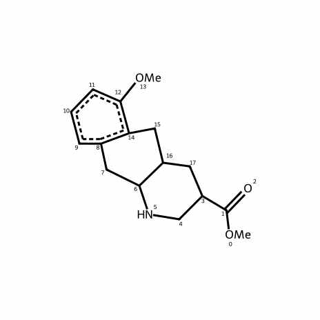 COC(=O)C1CNC2Cc3cccc(OC)c3CC2C1